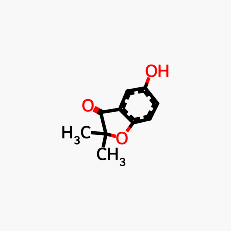 CC1(C)Oc2ccc(O)cc2C1=O